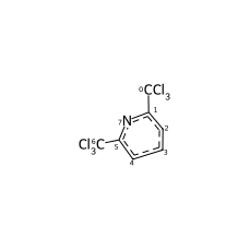 ClC(Cl)(Cl)c1cccc(C(Cl)(Cl)Cl)n1